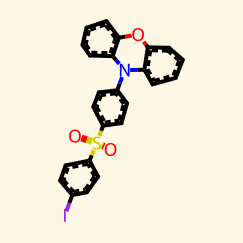 O=S(=O)(c1ccc(I)cc1)c1ccc(N2c3ccccc3Oc3ccccc32)cc1